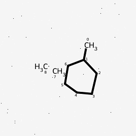 CC1CCCCC1.[CH3].[CH3]